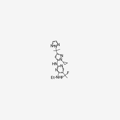 CCNc1nc(Nc2cc(C(C)(C)n3nccn3)nn2C2CC2)ncc1C(C)(F)F